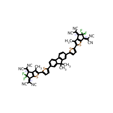 [C-]#[N+]/C(C#N)=C1/c2c(sc(-c3ccc(-c4ccc5c(c4)C(C)(C)c4cc(-c6ccc(-c7sc8c(c7C)/C(=C(/C#N)[N+]#[C-])C(F)(F)/C8=C(\C#N)[N+]#[C-])s6)ccc4-5)s3)c2C)/C(=C(\C#N)[N+]#[C-])C1(F)F